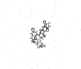 N#CC1(Cn2ccc3cc(Cl)cc(-c4ccnc5cc(CN6C(=O)CCC6=O)sc45)c32)CCNCC1